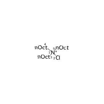 CCCCCCCC[N+](Cl)(CCCCCCCC)CCCCCCCC